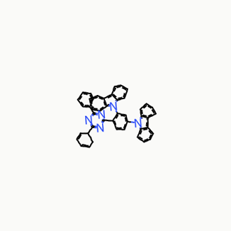 C1=CCC(c2nc(-c3ccccc3)nc(-c3ccc(-n4c5ccccc5c5ccccc54)cc3-n3c4ccccc4c4ccccc43)n2)C=C1